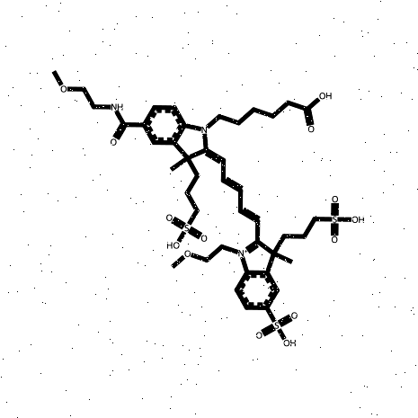 COCCNC(=O)c1ccc2c(c1)C(C)(CCCS(=O)(=O)O)\C(=C/C=C/C=C/C1=[N+](CCOC)c3ccc(S(=O)(=O)O)cc3C1(C)CCCS(=O)(=O)O)N2CCCCCC(=O)O